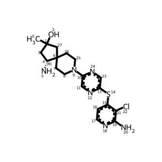 CC1(O)C[C@@H](N)C2(CCN(c3cnc(Sc4ccnc(N)c4Cl)cn3)CC2)C1